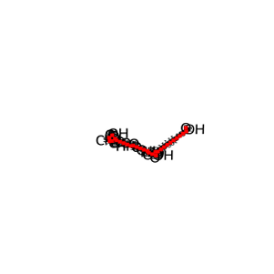 O=C(O)CCCCCCCCCCCCCCCCCCC(=O)NC(CCC(=O)NCCOCCOCC(=O)NCCOCCOCC(=O)Oc1c(Cl)cc(Cl)cc1S(=O)(=O)O)C(=O)O